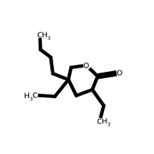 CCCCC1(CC)COC(=O)C(CC)C1